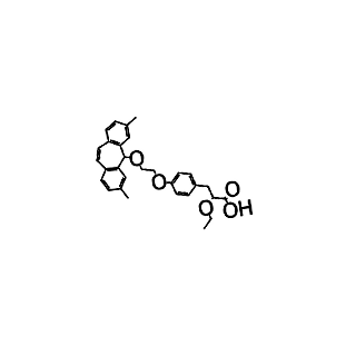 CCOC(Cc1ccc(OCCOC2c3cc(C)ccc3C=Cc3ccc(C)cc32)cc1)C(=O)O